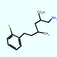 CC(CCc1ccccc1F)CC(CN)C(=O)O